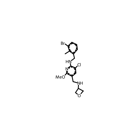 COc1nc(NCc2cccc(Br)c2C)c(Cl)cc1CNC1COC1